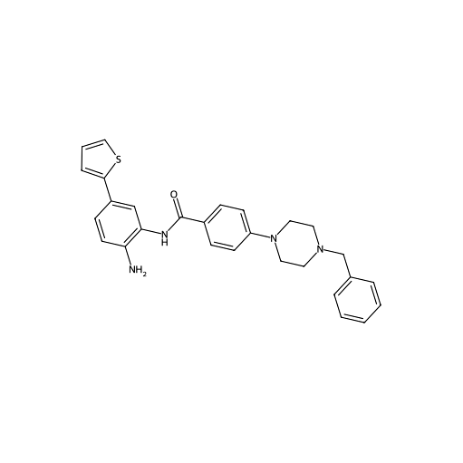 Nc1ccc(-c2cccs2)cc1NC(=O)c1ccc(N2CCN(Cc3ccccc3)CC2)cc1